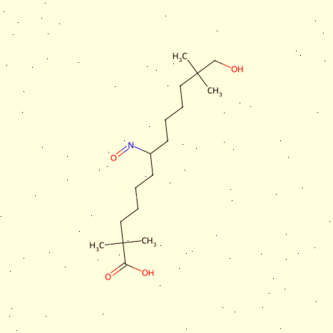 CC(C)(CO)CCCCC(CCCCC(C)(C)C(=O)O)N=O